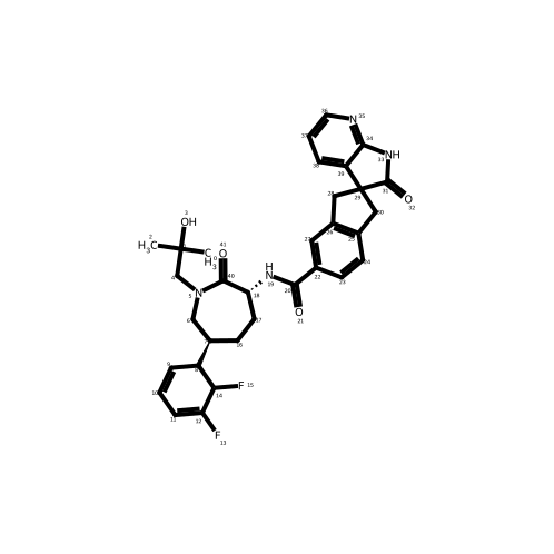 CC(C)(O)CN1C[C@H](C2C=CC=C(F)C2F)CC[C@@H](NC(=O)c2ccc3c(c2)CC2(C3)C(=O)Nc3ncccc32)C1=O